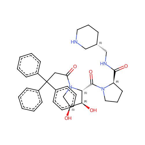 O=C(NC[C@H]1CCCNC1)[C@H]1CCCN1C(=O)[C@@H]1[C@@H](O)[C@@H](O)CN1C(=O)CC(c1ccccc1)(c1ccccc1)c1ccccc1